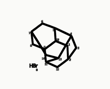 Br.C1C2CC3C4CC5CC(C14)C(C2)C3C5